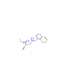 C#CC(CNCc1cccc2c1CCC=C2)NCC